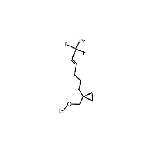 CCOCC1(CCC/C=C/C(F)(F)C(C)C)CC1